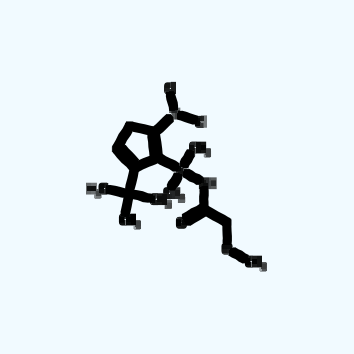 COCC(=O)N[Si](C)(C)C1=[C]([Ti]([Cl])[Cl])CC=C1C(C)(C)C